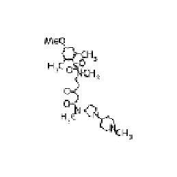 COc1cc(C)c(S(=O)(=O)N(C)CCC(=O)CC(=O)N(C)[C@@H]2CCN(C3CCN(C)CC3)C2)c(C)c1